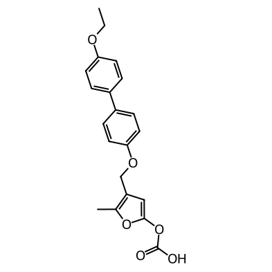 CCOc1ccc(-c2ccc(OCc3cc(OC(=O)O)oc3C)cc2)cc1